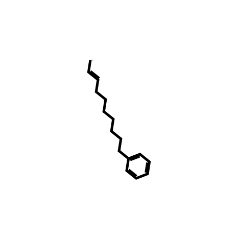 [CH2]C=CCCCCCCCc1ccccc1